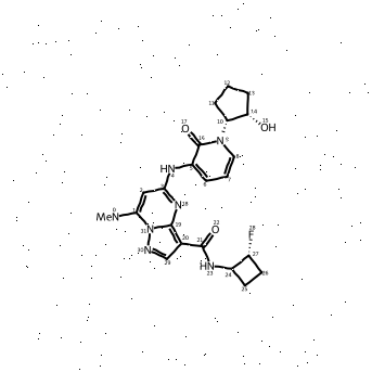 CNc1cc(Nc2cccn([C@@H]3CCC[C@@H]3O)c2=O)nc2c(C(=O)NC3CC[C@H]3F)cnn12